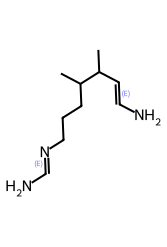 CC(/C=C/N)C(C)CCC/N=C/N